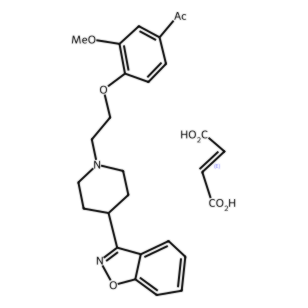 COc1cc(C(C)=O)ccc1OCCN1CCC(c2noc3ccccc23)CC1.O=C(O)/C=C/C(=O)O